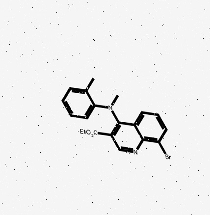 CCOC(=O)c1cnc2c(Br)cccc2c1N(C)c1ccccc1C